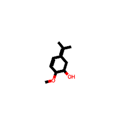 COC1C=CC(=C(C)C)CC1O